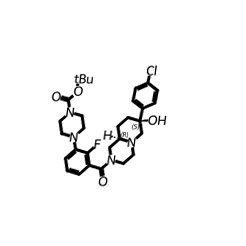 CC(C)(C)OC(=O)N1CCN(c2cccc(C(=O)N3CCN4C[C@@](O)(c5ccc(Cl)cc5)CC[C@@H]4C3)c2F)CC1